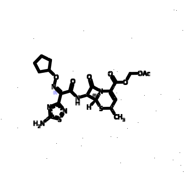 CC(=O)OCOC(=O)C1=CC(C)S[C@@H]2C(NC(=O)/C(=N\OC3CCCC3)c3nsc(N)n3)C(=O)N12